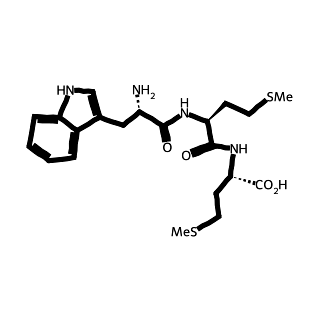 CSCC[C@H](NC(=O)[C@H](CCSC)NC(=O)[C@@H](N)Cc1c[nH]c2ccccc12)C(=O)O